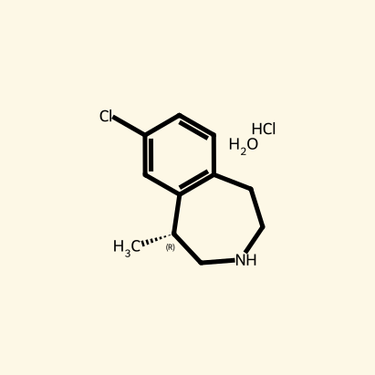 C[C@H]1CNCCc2ccc(Cl)cc21.Cl.O